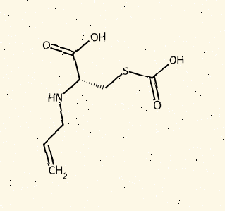 C=CCN[C@@H](CSC(=O)O)C(=O)O